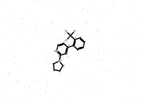 FC(F)(F)c1[c]cccc1-c1ccnc(N2CCCC2)c1